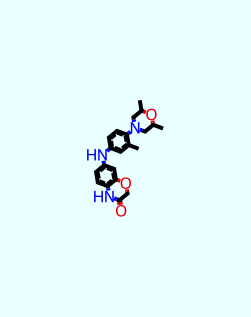 Cc1cc(Nc2ccc3c(c2)OCC(=O)N3)ccc1N1CC(C)OC(C)C1